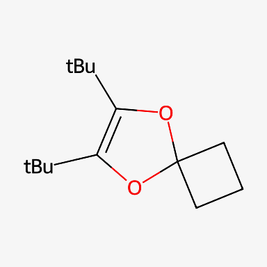 CC(C)(C)C1=C(C(C)(C)C)OC2(CCC2)O1